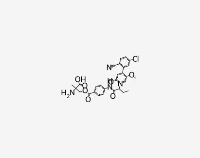 CCC(C(=O)Nc1ccc(C(=O)OCC(C)(N)C(=O)O)cc1)n1cc(OC)c(-c2cc(Cl)ccc2C#N)cc1=O